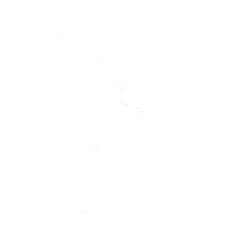 CCN(Cc1cc(Br)ccc1OCc1ccccc1)N1C=C(C(=O)NS(=O)(=O)c2ccccc2)SN1